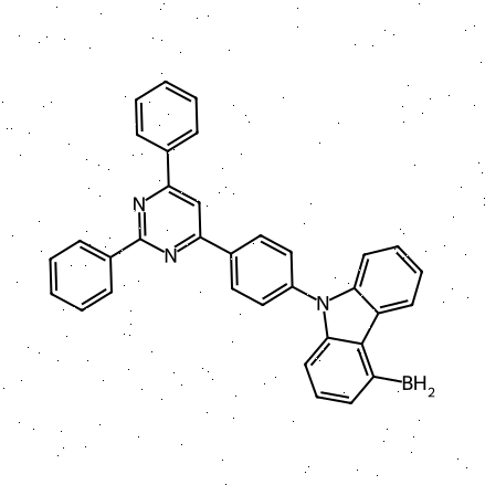 Bc1cccc2c1c1ccccc1n2-c1ccc(-c2cc(-c3ccccc3)nc(-c3ccccc3)n2)cc1